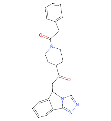 O=C(CC1c2ccccc2-c2nncn21)C1CCN(C(=O)Cc2ccccc2)CC1